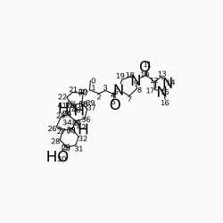 CC(CCC(=O)N1CCN(C(=O)c2cnn(C)c2)CC1)[C@H]1CC[C@H]2[C@@H]3CC=C4C[C@@H](O)CC[C@]4(C)[C@H]3CC[C@]12C